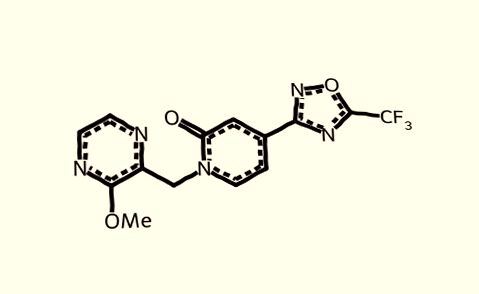 COc1nccnc1Cn1ccc(-c2noc(C(F)(F)F)n2)cc1=O